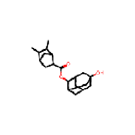 CC1C2CC(C(=O)OC3C4CC5CC3CC(O)(C5)C4)C(C2)C1C